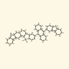 CC1(C)c2ccc(-c3c4ccccc4c(-c4ccc5sc6ccccc6c5c4)c4ccccc34)cc2-c2ccc3cc4oc5ccccc5c4cc3c21